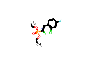 CCOP(=O)(OCC)/C(Cl)=C/c1ccc(F)cc1Cl